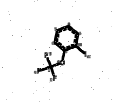 FC(F)(F)Oc1[c]cccc1I